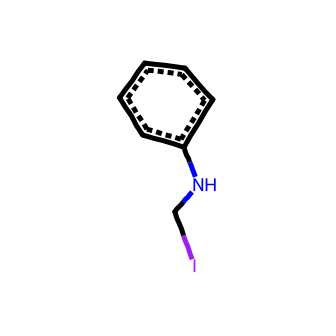 ICNc1ccccc1